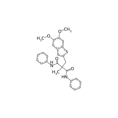 COc1cc2cc(CC(C)(C(=O)Nc3ccccc3)C(=O)Nc3ccccc3)sc2cc1OC